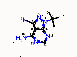 CC(C)(C)n1nc(I)c2c(N)ncnc21